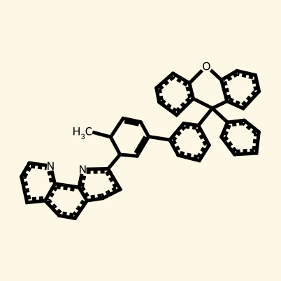 CC1C=CC(c2cccc(C3(c4ccccc4)c4ccccc4Oc4ccccc43)c2)=CC1c1ccc2ccc3cccnc3c2n1